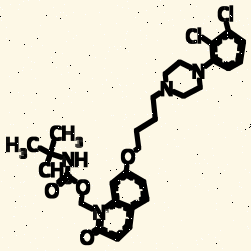 CC(C)(C)NC(=O)OCn1c(=O)ccc2ccc(OCCCCN3CCN(c4cccc(Cl)c4Cl)CC3)cc21